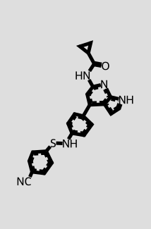 N#Cc1ccc(SNc2ccc(-c3cc(NC(=O)C4CC4)nc4[nH]ccc34)cc2)cc1